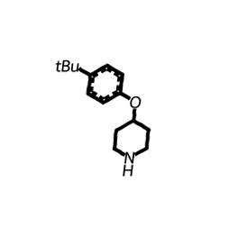 CC(C)(C)c1ccc(OC2CCNCC2)cc1